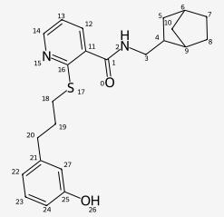 O=C(NCC1CC2CCC1C2)c1cccnc1SCCCc1cccc(O)c1